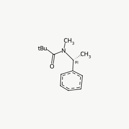 C[C@H](c1ccccc1)N(C)C(=O)C(C)(C)C